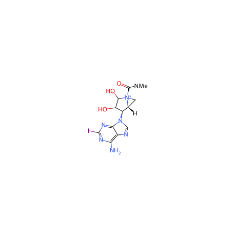 CNC(=O)[N@@+]12C[C@@H]1[C@@H](n1cnc3c(N)nc(I)nc31)C(O)C2O